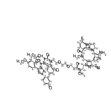 COc1ccc(C2=N[C@@H](c3ccc(Cl)cc3)[C@@H](c3ccc(Cl)cc3)N2C(=O)N2CCN(CCOCCOCCC(=O)N(C)CCn3nc(C#N)c4c3CN(C)C(=O)c3ccc(F)cc3[C@H]3CCCN3c3cc-4cnc3N)C(=O)C2)c(OC(C)C)c1